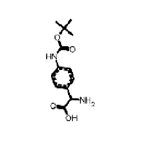 CC(C)(C)OC(=O)Nc1ccc(C(N)C(=O)O)cc1